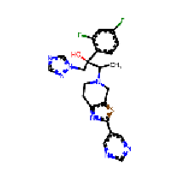 CC(N1CCc2nc(-c3cncnc3)sc2C1)[C@](O)(Cn1cncn1)c1ccc(F)cc1F